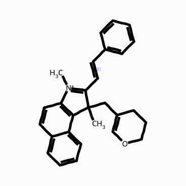 C[N+]1=C(/C=C/c2ccccc2)C(C)(CC2=COCCC2)c2c1ccc1ccccc21